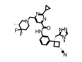 C[C@@H]1CN(Cc2cc(C(=O)Nc3cccc([C@]4(Cc5nncn5C)C[C@@H](C#N)C4)c3)nc(C3CC3)n2)CCC1(F)F